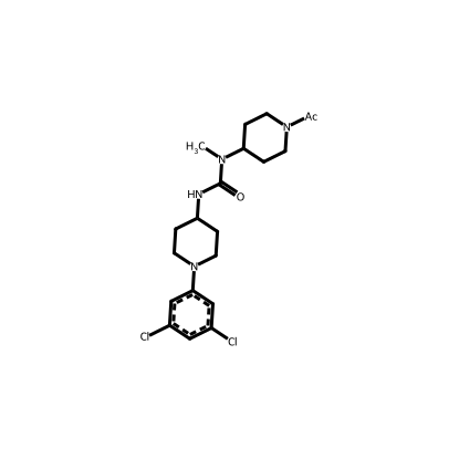 CC(=O)N1CCC(N(C)C(=O)NC2CCN(c3cc(Cl)cc(Cl)c3)CC2)CC1